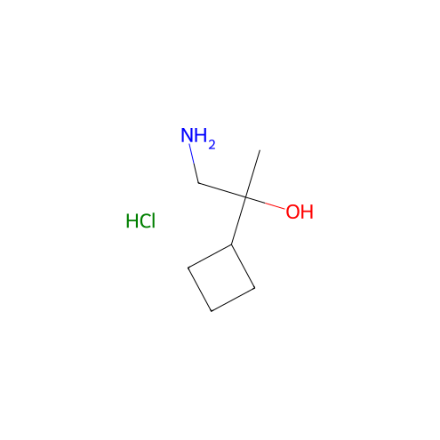 CC(O)(CN)C1CCC1.Cl